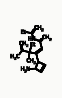 C=C(/C=C(/C1C=CC1N)C(C)(CC)C(=C)C)NC(=C)CC